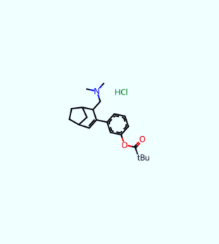 CN(C)CC1C(c2cccc(OC(=O)C(C)(C)C)c2)=CC2CCC1C2.Cl